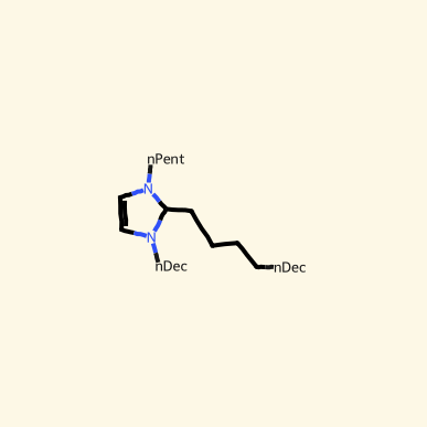 CCCCCCCCCCCCCCC1N(CCCCC)C=CN1CCCCCCCCCC